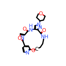 O=C1Nc2cn(C3CCOCC3)nc2C(=O)NCCCCOc2cc(ccn2)-c2nc1co2